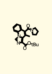 Cc1c(C(=O)N2CCCC2)c2ccccc2n2cnc(C(=O)OC(C)(C)C)c12